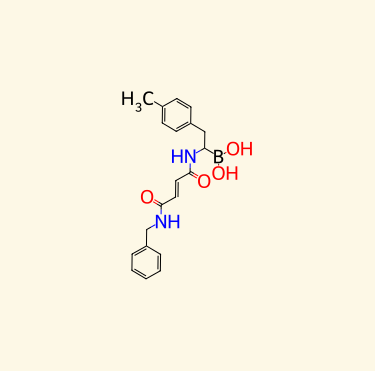 Cc1ccc(CC(NC(=O)C=CC(=O)NCc2ccccc2)B(O)O)cc1